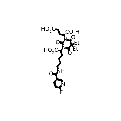 CCC1(CC)C(=O)N([C@@H](CCCCNC(=O)c2ccc(F)nc2)C(=O)O)C(=O)N([C@@H](CCC(=O)O)C(=O)O)C1=O